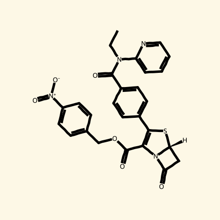 CCN(C(=O)c1ccc(C2=C(C(=O)OCc3ccc([N+](=O)[O-])cc3)N3C(=O)C[C@H]3S2)cc1)c1ccccn1